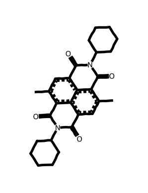 Cc1cc2c3c(c(C)cc4c3c1C(=O)N(C1CCCCC1)C4=O)C(=O)N(C1CCCCC1)C2=O